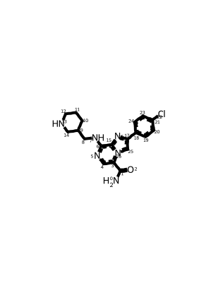 NC(=O)c1cnc(NCC2CCCNC2)c2nc(-c3ccc(Cl)cc3)cn12